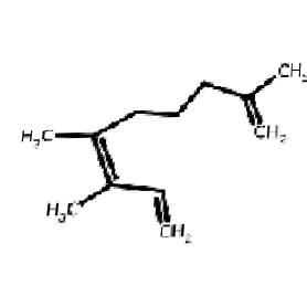 C=C/C(C)=C(/C)CCCC(=C)C